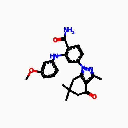 COc1cccc(Nc2cc(-n3nc(C)c4c3CC(C)(C)CC4=O)ccc2C(N)=O)c1